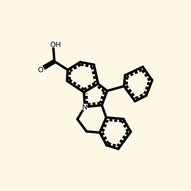 O=C(O)c1ccc2c(-c3ccccc3)c3n(c2c1)CCc1ccccc1-3